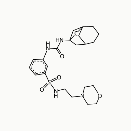 O=C(Nc1cccc(S(=O)(=O)NCCN2CCOCC2)c1)NC12CC3CCCC(C3)(C1)C2